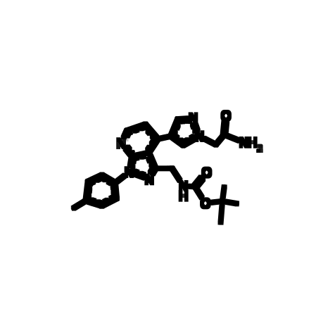 Cc1ccc(-n2nc(CNC(=O)OC(C)(C)C)c3c(-c4cnn(CC(N)=O)c4)ccnc32)cc1